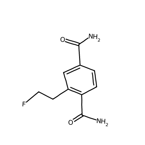 NC(=O)c1ccc(C(N)=O)c(CCF)c1